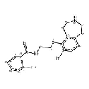 O=C(NCCOc1c(Cl)ccc2c1CCNCC2)c1ccccc1F